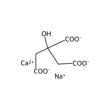 O=C([O-])CC(O)(CC(=O)[O-])C(=O)[O-].[Ca+2].[Na+]